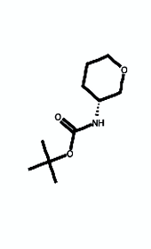 CC(C)(C)OC(=O)N[C@@H]1CCCOC1